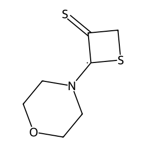 S=C1CS[C]1N1CCOCC1